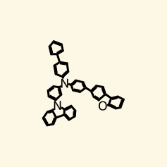 c1ccc(-c2ccc(N(c3ccc(-c4ccc5c(c4)oc4ccccc45)cc3)c3cccc(-n4c5ccccc5c5ccccc54)c3)cc2)cc1